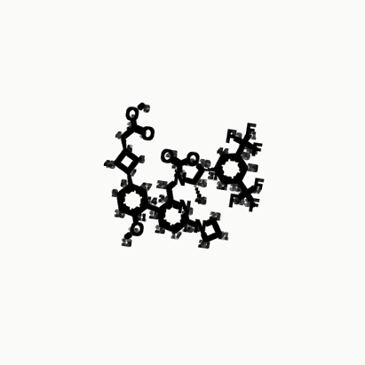 COC(=O)C[C@H]1C[C@@H](c2ccc(OC)c(-c3ccc(N4CCC4)nc3CN3C(=O)O[C@H](c4cc(C(F)(F)F)cc(C(F)(F)F)c4)[C@@H]3C)c2)C1